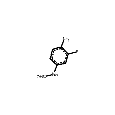 O=CNc1ccc(C(F)(F)F)c(F)c1